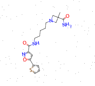 CC1(C(N)=O)CN(CCCCCNC(=O)c2cc(-c3cccs3)on2)C1